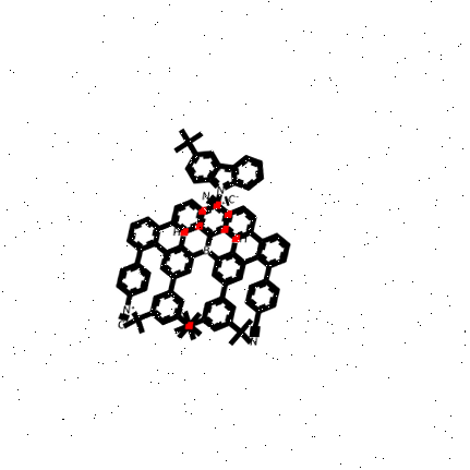 [C-]#[N+]c1ccc(-c2cccc(-c3ccc([N+]#[C-])cc3)c2-c2cc(-c3cc(C(C)(C)C)cc(C(C)(C)C)c3)cc3c2Nc2cc(-n4c5ccccc5c5cc(C(C)(C)C)ccc54)cc4c2B3c2cc(-c3cc(C(C)(C)C)cc(C(C)(C)C)c3)cc(-c3c(-c5ccc(C#N)cc5)cccc3-c3ccc(C#N)cc3)c2N4)cc1